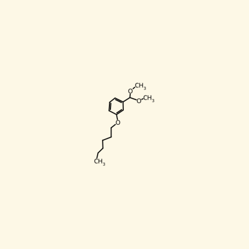 CCCCCCOc1cccc(C(OC)OC)c1